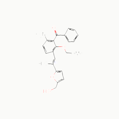 COCOc1c(/C=C(\C)c2ccc(CO)o2)ccc([N+](=O)[O-])c1C(=O)c1ccccc1